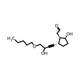 CCCCCOCC(O)C#C[C@H]1CC[C@H](O)[C@@H]1CC=O